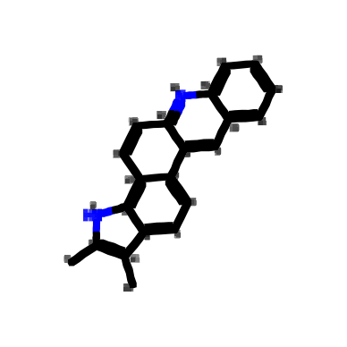 Cc1[nH]c2c(ccc3c4cc5ccccc5nc4ccc32)c1C